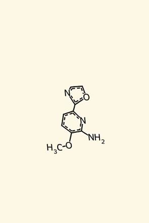 COc1ccc(-c2ncco2)nc1N